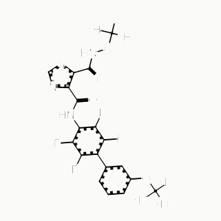 [2H]C([2H])([2H])ONC(=O)c1scnc1C(=O)Nc1c(F)c(F)c(-c2cccc(OC([2H])([2H])[2H])c2)c(F)c1F